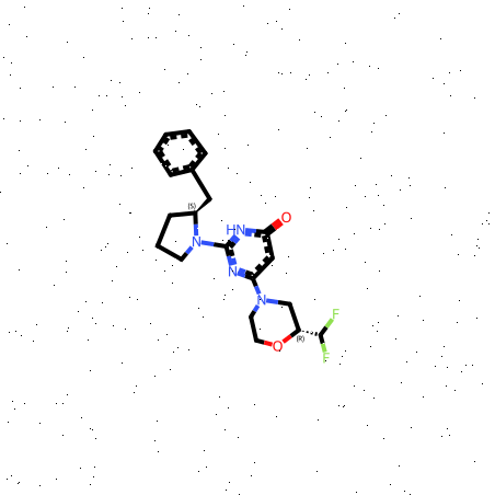 O=c1cc(N2CCO[C@@H](C(F)F)C2)nc(N2CCC[C@H]2Cc2ccccc2)[nH]1